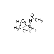 CC(=O)N1C[C@@H](C)N(C(C)C)[C@@H](C)C1